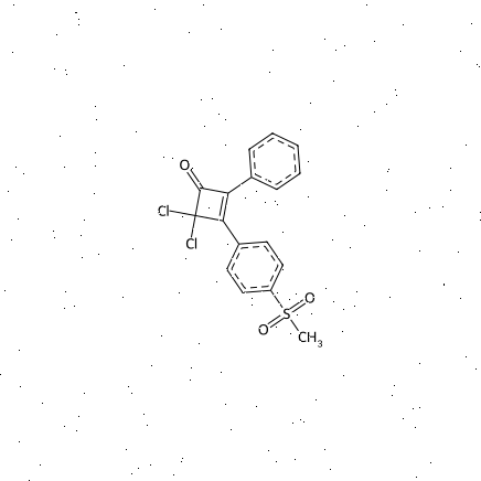 CS(=O)(=O)c1ccc(C2=C(c3ccccc3)C(=O)C2(Cl)Cl)cc1